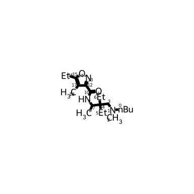 CCCCN(C)CC(CC)(CC)C(C)NC(=O)c1noc(CC)c1C